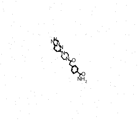 NC(=O)c1ccc(CC(=O)N2CCN(c3ccc4nncn4n3)CC2)cc1